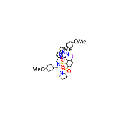 COc1ccc(CN(Cc2ccc(OC)cc2)S(=O)(=O)c2c(S(=O)(=O)c3ccccn3)ccc(I)c2-c2nnn(Cc3ccc(OC)cc3)n2)cc1